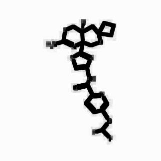 NC1=NC2(c3nc(NC(=O)c4ccc(OC(F)F)cn4)cs3)COC3(CCC3)C[C@@H]2CS1